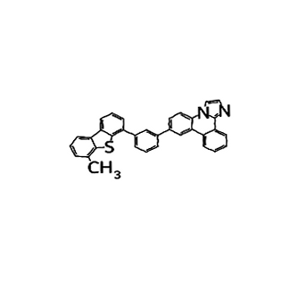 Cc1cccc2c1sc1c(-c3cccc(-c4ccc5c(c4)c4ccccc4c4nccn54)c3)cccc12